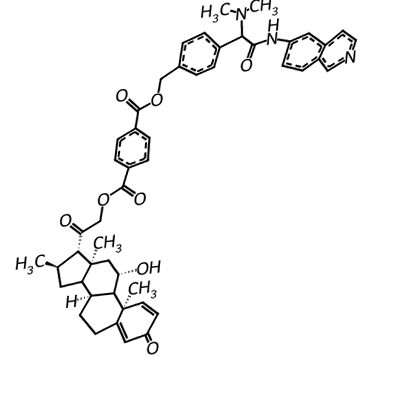 C[C@@H]1CC2[C@@H]3CCC4=CC(=O)C=C[C@]4(C)C3[C@@H](O)C[C@]2(C)[C@H]1C(=O)COC(=O)c1ccc(C(=O)OCc2ccc(C(C(=O)Nc3ccc4cnccc4c3)N(C)C)cc2)cc1